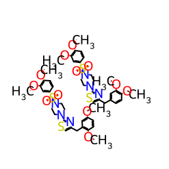 COc1ccc(Cc2csc(N3CCN(S(=O)(=O)c4ccc(OC)c(OC)c4)CC3)n2)cc1OC.COc1ccc(OC)c(Cc2csc(N3CCN(S(=O)(=O)c4ccc(OC)c(OC)c4)CC3)n2)c1